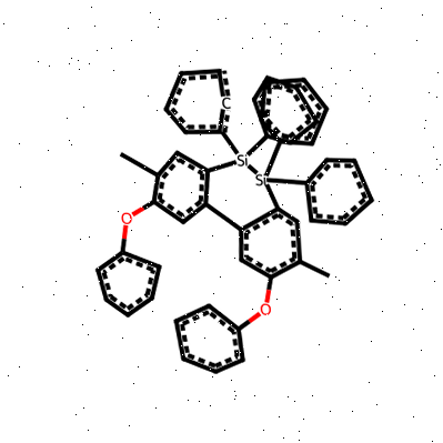 Cc1cc2c(cc1Oc1ccccc1)-c1cc(Oc3ccccc3)c(C)cc1[Si](c1ccccc1)(c1ccccc1)[Si]2(c1ccccc1)c1ccccc1